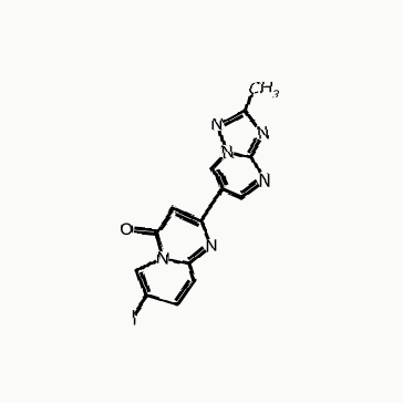 Cc1nc2ncc(-c3cc(=O)n4cc(I)ccc4n3)cn2n1